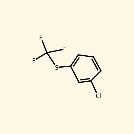 FC(F)(F)Sc1cccc(Cl)c1